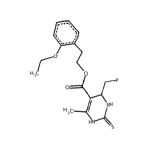 CCOc1ccccc1CCOC(=O)C1=C(C)NC(=S)NC1CF